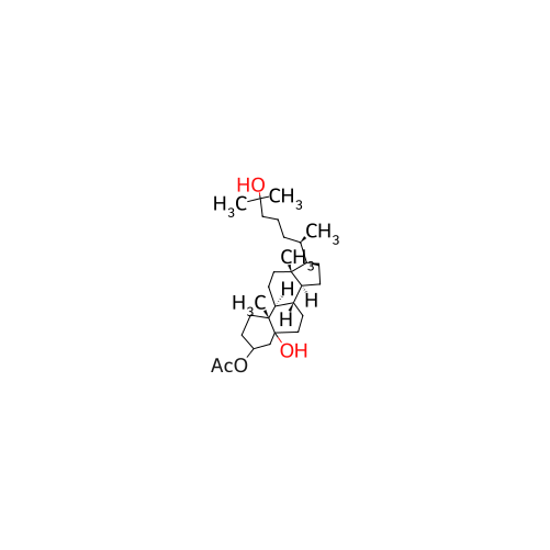 CC(=O)OC1CC[C@]2(C)[C@H]3CC[C@]4(C)[C@@H]([C@H](C)CCCC(C)(C)O)CC[C@H]4[C@@H]3CCC2(O)C1